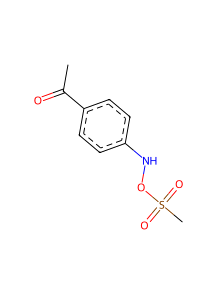 CC(=O)c1ccc(NOS(C)(=O)=O)cc1